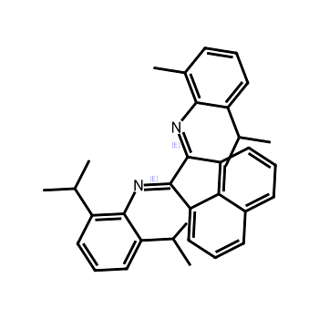 Cc1cccc(C(C)C)c1/N=C1/C(=N/c2c(C(C)C)cccc2C(C)C)c2cccc3cccc1c23